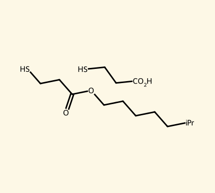 CC(C)CCCCCOC(=O)CCS.O=C(O)CCS